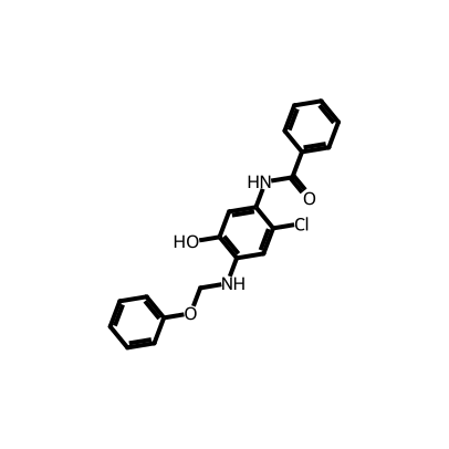 O=C(Nc1cc(O)c(NCOc2ccccc2)cc1Cl)c1ccccc1